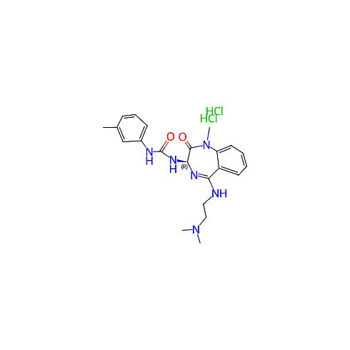 Cc1cccc(NC(=O)N[C@@H]2N=C(NCCN(C)C)c3ccccc3N(C)C2=O)c1.Cl.Cl